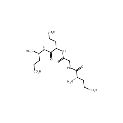 N[C@@H](CCC(=O)O)C(=O)NCC(=O)N[C@@H](CCC(=O)O)C(=O)N[C@@H](CCC(=O)O)C(=O)O